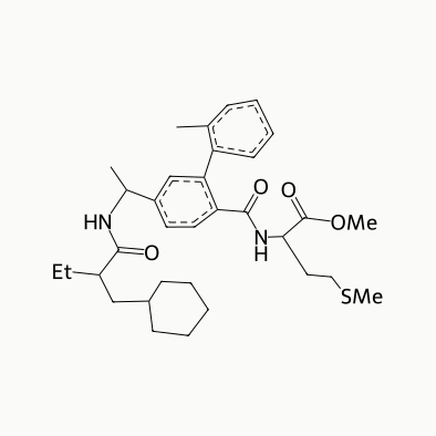 CCC(CC1CCCCC1)C(=O)NC(C)c1ccc(C(=O)NC(CCSC)C(=O)OC)c(-c2ccccc2C)c1